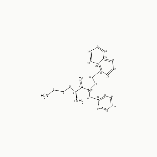 NCCC[C@H](N)C(=O)N(CCc1[c]ccc2ccccc12)Cc1ccccc1